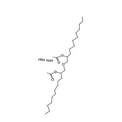 CCCCCCCCCCC(COCC(CCCCCCCCCC)OC(C)=O)OC(C)=O.[NaH].[NaH]